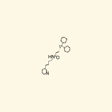 O=C(/C=C/[C@@H]1CC1(c1ccccc1)c1ccccc1)NCC/C=C/c1cccnc1